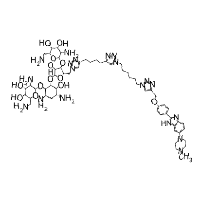 CN1CCN(c2ccc3nc(-c4ccc(OCc5cn(CCCCCCn6cc(CCCCc7cn(C[C@H]8OC(O[C@@H]9C(O)[C@H](N)CC(N)[C@H]9O[C@H]9OC(CN)[C@@H](O)[C@H](O)C9N)[C@@H](O)[C@H]8O[C@H]8O[C@@H](CN)[C@@H](O)C(O)C8N)nn7)nn6)nn5)cc4)[nH]c3c2)CC1